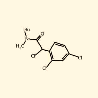 CCC(C)N(C)C(=O)C(Cl)c1ccc(Cl)cc1Cl